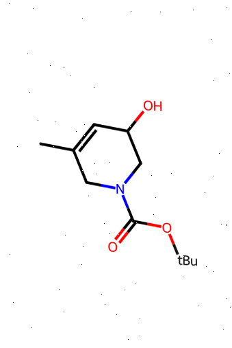 CC1=CC(O)CN(C(=O)OC(C)(C)C)C1